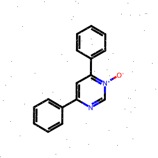 [O-][n+]1cnc(-c2ccccc2)cc1-c1ccccc1